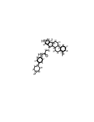 CN1CCN(c2ccc(NC(=O)CC[C@@H]3c4c[nH]nc4[C@@]4(C)CCC5c6cccc(F)c6CCC5C34)nc2)CC1